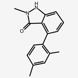 Cc1ccc(-c2cccc3[nH]n(C)c(=O)c23)c(C)c1